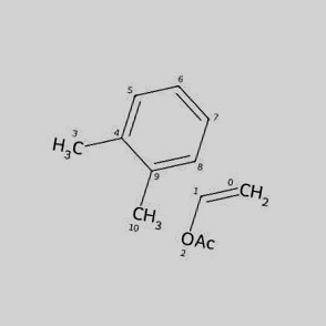 C=COC(C)=O.Cc1ccccc1C